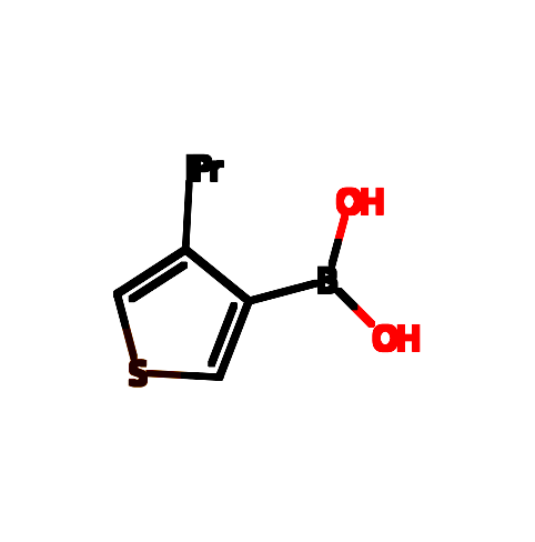 CC(C)c1cscc1B(O)O